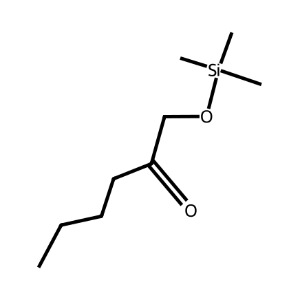 CCCCC(=O)CO[Si](C)(C)C